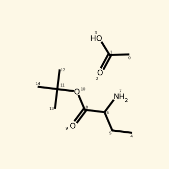 CC(=O)O.CCC(N)C(=O)OC(C)(C)C